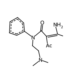 CC(=O)C(C(=O)N(CCN(C)C)c1ccccc1)=C(C)N